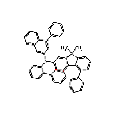 CC1(C)c2cc(N(c3cc(-c4ccccc4)c4ccccc4c3)c3ccccc3-c3ccccc3)ccc2-c2c(-c3ccccc3)cccc21